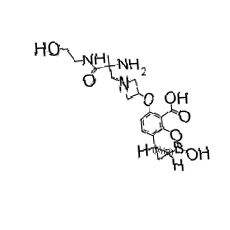 CC(N)(CN1CC(Oc2ccc3c(c2C(=O)O)OB(O)[C@@H]2C[C@H]32)C1)C(=O)NCCO